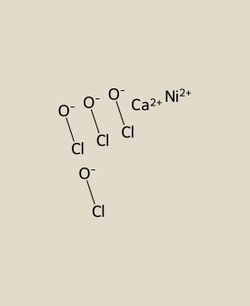 [Ca+2].[Ni+2].[O-]Cl.[O-]Cl.[O-]Cl.[O-]Cl